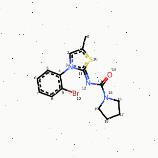 Cc1cn(-c2ccccc2Br)/c(=N/C(=O)N2CCCC2)s1